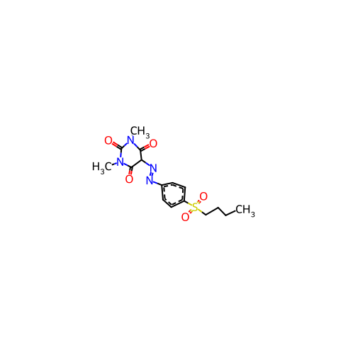 CCCCS(=O)(=O)c1ccc(N=NC2C(=O)N(C)C(=O)N(C)C2=O)cc1